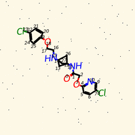 O=C(COc1ccc(Cl)cn1)NC12CC(NCCOc3ccc(Cl)cc3)(C1)C2